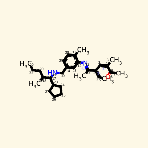 C/C=C(\C=C(\C)C(C)=O)C(/C)=N/c1cc(CNC(C(C)CCC)C2CCCC2)ccc1C